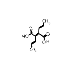 CC=CC(C(=O)O)=C(C=CC)C(=O)O